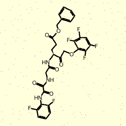 O=C(CNC(=O)C(=O)Nc1c(F)cccc1F)N[C@@H](CCC(=O)OCc1ccccc1)C(=O)COc1c(F)c(F)cc(F)c1F